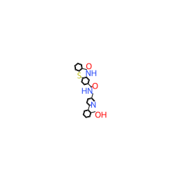 O=C(NCc1ccc(-c2ccccc2CO)nc1)c1ccc2c(c1)NC(=O)c1ccccc1S2